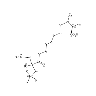 CC(=O)N(CCCCCCCC(=O)C(O)(CC(=O)[O-])C[N+](C)(C)C)[C@@H](C)C(=O)O